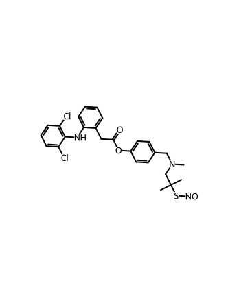 CN(Cc1ccc(OC(=O)Cc2ccccc2Nc2c(Cl)cccc2Cl)cc1)CC(C)(C)SN=O